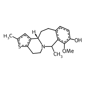 COc1c(O)ccc2c1C(C)N1CCc3sc(C)cc3[C@@H]1CC2